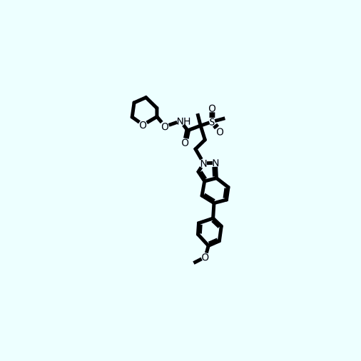 COc1ccc(-c2ccc3nn(CCC(C)(C(=O)NOC4CCCCO4)S(C)(=O)=O)cc3c2)cc1